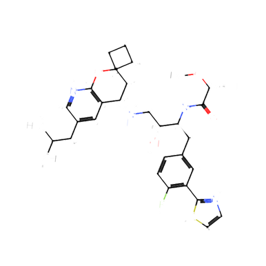 CO[C@H](C)C(=O)N[C@@H](Cc1ccc(F)c(-c2nccs2)c1)[C@H](O)CN[C@H]1CC2(CCC2)Oc2ncc(CC(C)C)cc21